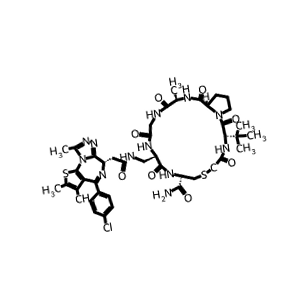 Cc1sc2c(c1C)C(c1ccc(Cl)cc1)=N[C@@H](CC(=O)NC[C@H]1NC(=O)CNC(=O)[C@@H](C)NC(=O)[C@@H]3CCCN3C(=O)[C@H](C(C)(C)C)NC(=O)CSC[C@H](C(N)=O)NC1=O)c1nnc(C)n1-2